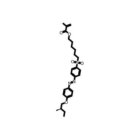 C=C(C)C(=O)OCCCCCCS(=O)(=O)c1ccc(N=Nc2ccc(OC[C@H](C)CC)cc2)cc1